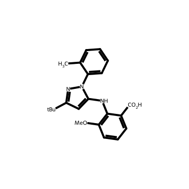 COc1cccc(C(=O)O)c1Nc1cc(C(C)(C)C)nn1-c1ccccc1C